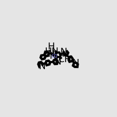 CC1C(c2cc(-c3ccc(-c4ccccn4)cc3)ccn2)=CC(=N)/C(=N\Nc2ccc3ccccc3c2)C1c1cc(-c2ccc(-c3ccccn3)cc2)ccn1